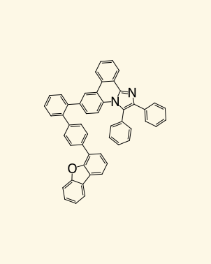 c1ccc(-c2nc3c4ccccc4c4cc(-c5ccccc5-c5ccc(-c6cccc7c6oc6ccccc67)cc5)ccc4n3c2-c2ccccc2)cc1